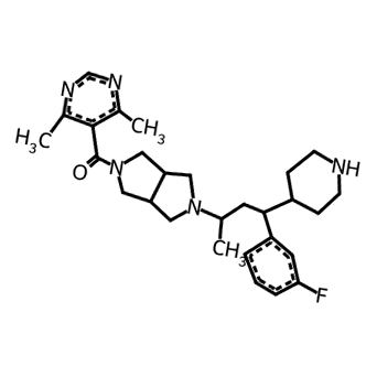 Cc1ncnc(C)c1C(=O)N1CC2CN(C(C)CC(c3cccc(F)c3)C3CCNCC3)CC2C1